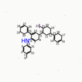 Cc1ccc(NC2=CCC(C3CC(C4=CC=CCC4)CCC3I)C=C2C2=CC=CCC2)cc1